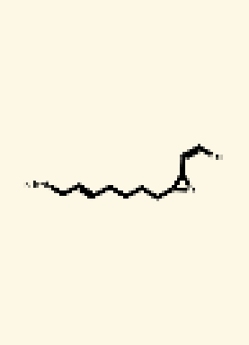 CCCCCCCCC=CCCCCC1OC1/C=C\O